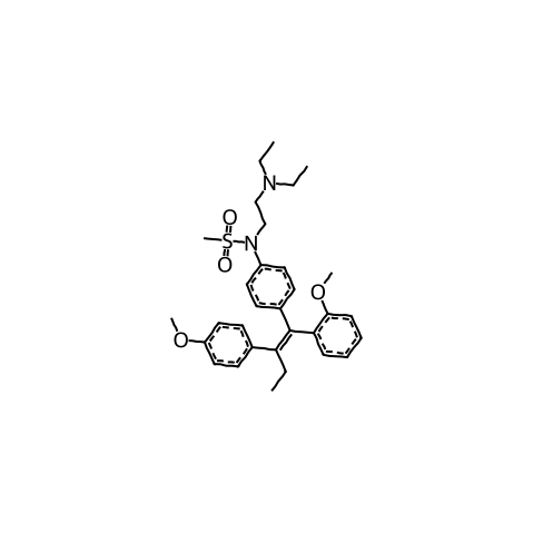 CCC(=C(c1ccc(N(CCN(CC)CC)S(C)(=O)=O)cc1)c1ccccc1OC)c1ccc(OC)cc1